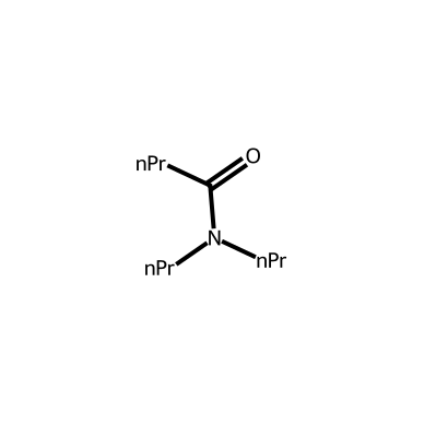 C[CH]CC(=O)N(CCC)CCC